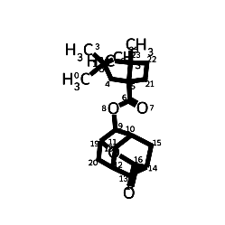 CC(C)(C)CC1(C(=O)OC2C3CC4CC(C3)C(=O)OC2C4)CCC1(C)C